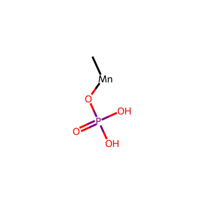 [CH3][Mn][O]P(=O)(O)O